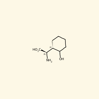 N[C@@H](C(=O)O)[C@@H]1CCCCC1O